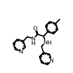 Cc1ccc(C(NCc2cccnc2)C(=O)NCc2cccnc2)cc1